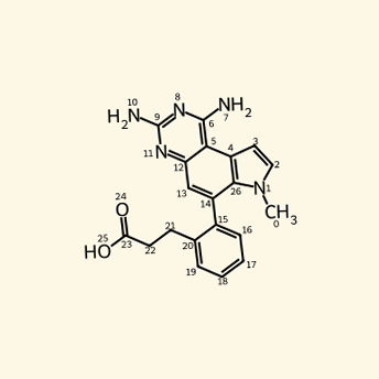 Cn1ccc2c3c(N)nc(N)nc3cc(-c3ccccc3CCC(=O)O)c21